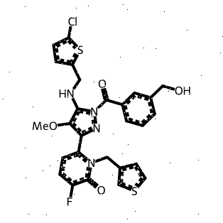 COc1c(-c2ccc(F)c(=O)n2Cc2ccsc2)nn(C(=O)c2cccc(CO)c2)c1NCc1ccc(Cl)s1